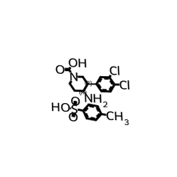 Cc1ccc(S(=O)(=O)O)cc1.N[C@@H]1CCN(C(=O)O)C[C@H]1c1ccc(Cl)c(Cl)c1